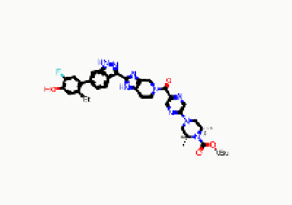 CCc1cc(O)c(F)cc1-c1ccc2c(-c3nc4c([nH]3)CCN(C(=O)c3cnc(N5C[C@@H](C)N(C(=O)OC(C)(C)C)[C@@H](C)C5)cn3)C4)n[nH]c2c1